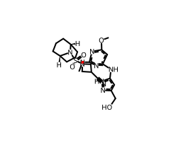 COc1cc(Nc2cc(CO)n[nH]2)nc(N(C)[C@H]2C[C@H]3CCC[C@@H](C2)N3S(=O)(=O)N2CC(C#N)C2)n1